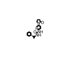 O=C(Nc1ccc(N2CCCC2=O)cn1)N[C@@H]1C[C@H]1c1ccccc1